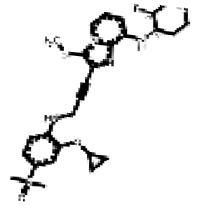 CN1CC[C@@H](Nc2cccn3c(SC(F)(F)F)c(C#CCNc4ccc(P(C)(C)=O)cc4OC4CC4)nc23)[C@@H](F)C1